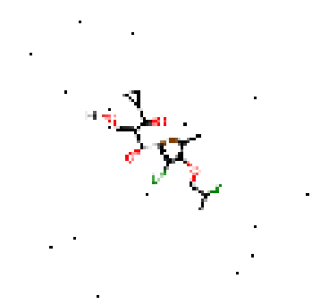 CCOC=C(C(=O)c1sc(C)c(OCC(C)Cl)c1Br)C(=O)C1CC1